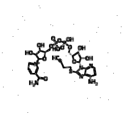 C#CCCSc1nc2c(N)ccnc2n1[C@@H]1O[C@H](COP(=O)(O)OP(=O)(O)OC[C@H]2O[C@@H]([n+]3cccc(C(N)=O)c3)C(O)C2O)[C@H](O)C1O